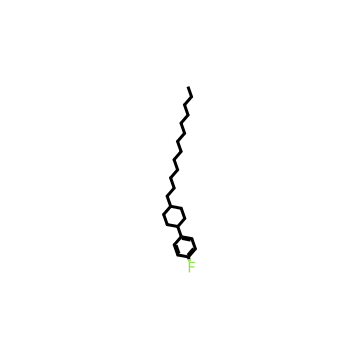 CCCCCCCCCCCCCC1CCC(c2ccc(F)cc2)CC1